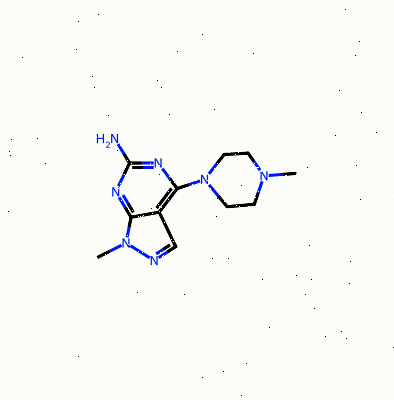 CN1CCN(c2nc(N)nc3c2cnn3C)CC1